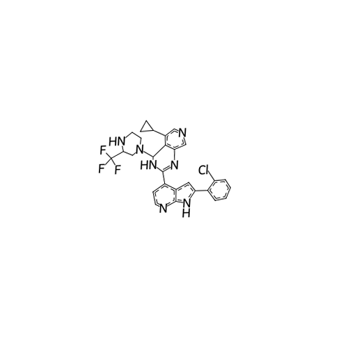 FC(F)(F)C1CN(C2NC(c3ccnc4[nH]c(-c5ccccc5Cl)cc34)=Nc3cncc(C4CC4)c32)CCN1